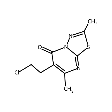 Cc1nn2c(=O)c(CCCl)c(C)nc2s1